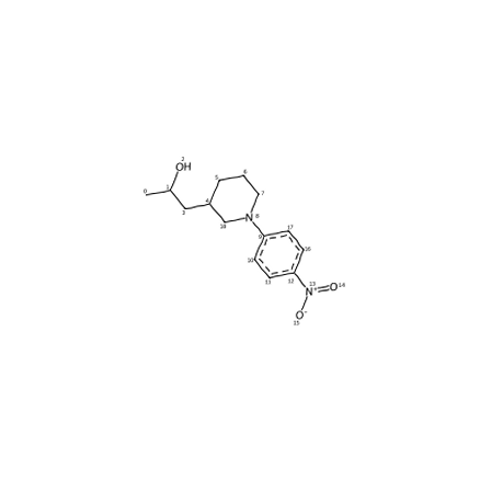 CC(O)CC1CCCN(c2ccc([N+](=O)[O-])cc2)C1